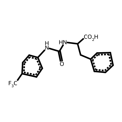 O=C(Nc1ccc(C(F)(F)F)cc1)NC(Cc1ccccc1)C(=O)O